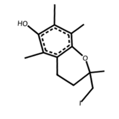 Cc1c(C)c2c(c(C)c1O)CCC(C)(CI)O2